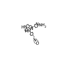 Nc1ccc(-c2cc3cc[nH]c(=O)c3c(Nc3ccc(CCN4CCOCC4)cc3)n2)cn1